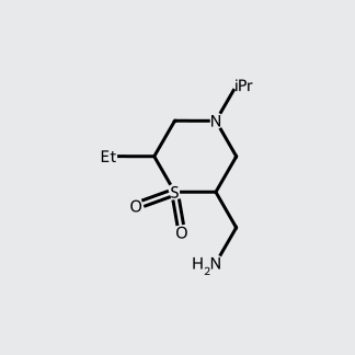 CCC1CN(C(C)C)CC(CN)S1(=O)=O